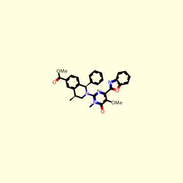 COC(=O)c1ccc2c(c1)[C@H](C)CN(c1nc(-c3nc4ccccc4o3)c(OC)c(=O)n1C)[C@@H]2c1ccccc1